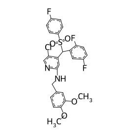 COc1ccc(CNc2cc(C(c3cc(F)ccc3F)S(=O)(=O)c3ccc(F)cc3)c(Cl)cn2)cc1OC